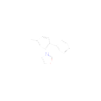 Cc1ccc(-c2ccccc2)cc1.c1cocn1